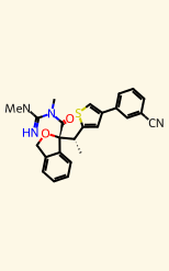 CNC(=N)N(C)C(=O)[C@]1([C@@H](C)c2cc(-c3cccc(C#N)c3)cs2)OCc2ccccc21